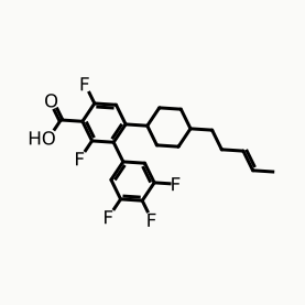 CC=CCCC1CCC(c2cc(F)c(C(=O)O)c(F)c2-c2cc(F)c(F)c(F)c2)CC1